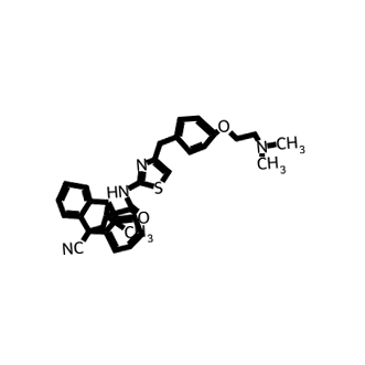 CN(C)CCOc1ccc(Cc2csc(NC(=O)C3(C)CC4(C#N)c5ccccc5C3c3ccccc34)n2)cc1